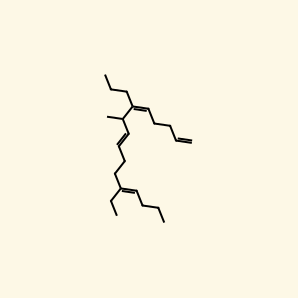 C=CCCC=C(CCC)C(C)C=CCCC(=CCCC)CC